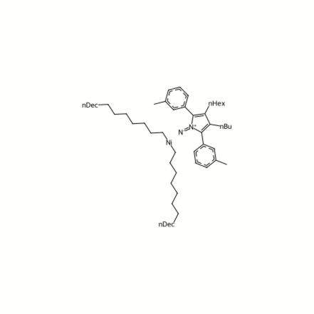 CCCCCCC1=C(c2cccc(C)c2)[N+](=[N-])C(c2cccc(C)c2)=C1CCCC.CCCCCCCCCCCCCCCC[CH2][Ni][CH2]CCCCCCCCCCCCCCCC